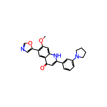 COc1cc2[nH]c(-c3cccc(N4CCCC4)c3)cc(=O)c2cc1-c1cnco1